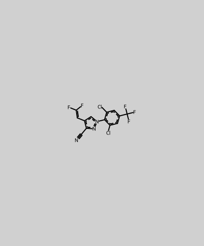 N#Cc1nn(-c2c(Cl)cc(C(F)(F)F)cc2Cl)cc1C=C(F)F